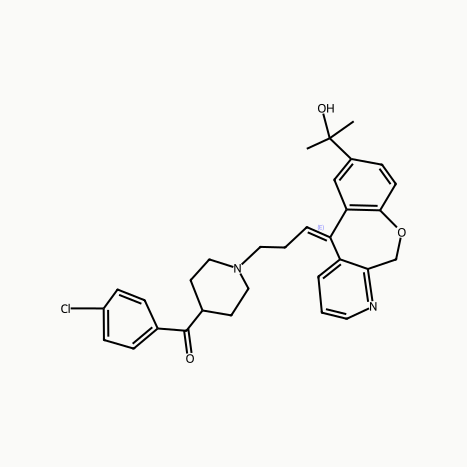 CC(C)(O)c1ccc2c(c1)/C(=C/CCN1CCC(C(=O)c3ccc(Cl)cc3)CC1)c1cccnc1CO2